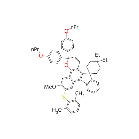 CCCOc1ccc(C2(c3ccc(OCCC)cc3)C=Cc3c4c(c5cc(Sc6c(C)cccc6C)c(OC)cc5c3O2)-c2ccccc2C42CCC(CC)(CC)CC2)cc1